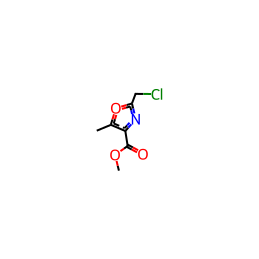 COC(=O)c1nc(CCl)oc1C